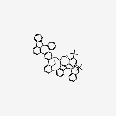 CCc1c2cccc1-c1cc(-c3cccc4c5ccccc5n(-c5ccccc5)c34)cc[n+]1CC1COc3c(cc(C(C)(C)C)cc3C(C)(C)C)-c3n(-c4cccc5ccccc45)c4cccc-2c4[n+]31